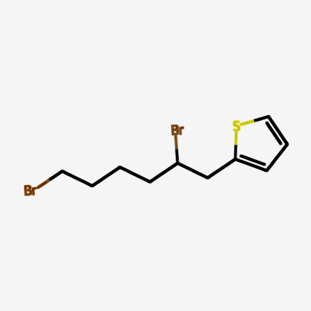 BrCCCCC(Br)Cc1cccs1